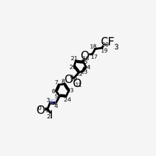 O=C(I)/C=C/c1ccc(OC(=O)c2ccc(OCCCC(F)(F)F)cc2)cc1